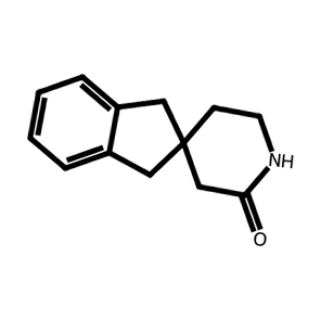 O=C1CC2(CCN1)Cc1ccccc1C2